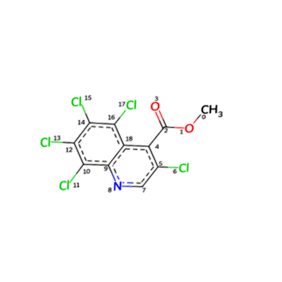 COC(=O)c1c(Cl)cnc2c(Cl)c(Cl)c(Cl)c(Cl)c12